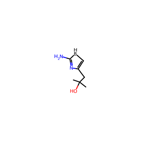 CC(C)(O)CC1=CBC(N)=N1